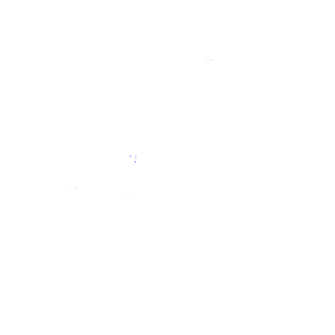 Cc1cc(C)c2c(c1)C1C=C(CC(C)C)c3cc4c(cc3N1C21OC(C)CC(C)O1)C(C)(C)c1ccccc1-4